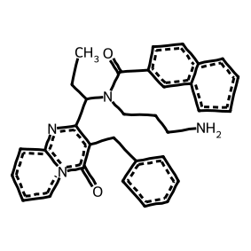 CCC(c1nc2ccccn2c(=O)c1Cc1ccccc1)N(CCCN)C(=O)c1ccc2ccccc2c1